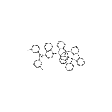 Cc1cccc(N(c2cccc(C)c2)c2ccc(-c3c4ccccc4c(-c4cccc5c4C(c4ccccc4)(c4ccccc4)c4ccccc4-5)c4ccccc34)c3ccccc23)c1